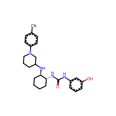 N#Cc1ccc(N2CCCC(N[C@@H]3CCCC[C@H]3NC(=O)Nc3cccc(O)c3)C2)cc1